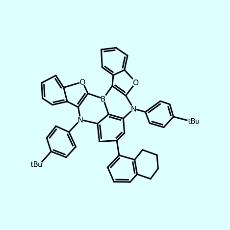 CC(C)(C)c1ccc(N2c3cc(-c4cccc5c4CCCC5)cc4c3B(c3oc5ccccc5c3N4c3ccc(C(C)(C)C)cc3)c3c2oc2ccccc32)cc1